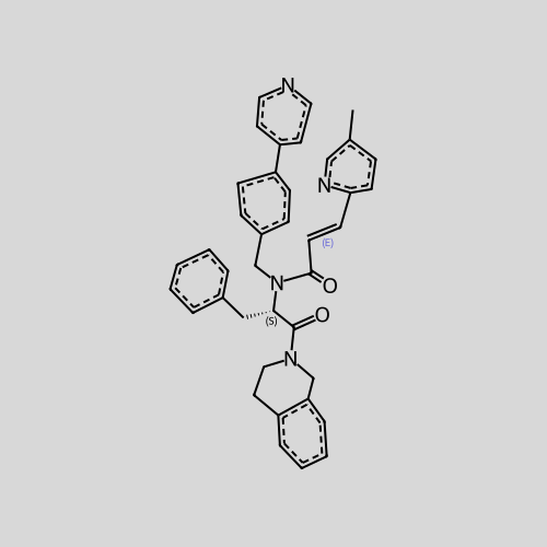 Cc1ccc(/C=C/C(=O)N(Cc2ccc(-c3ccncc3)cc2)[C@@H](Cc2ccccc2)C(=O)N2CCc3ccccc3C2)nc1